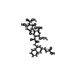 COc1cc(O)c2c(c1C(=O)NCc1cc(/C=C/C(=O)O)cc3ccccc13)OC1=CC(O)=C(C(C)=O)C(=O)[C@]12C